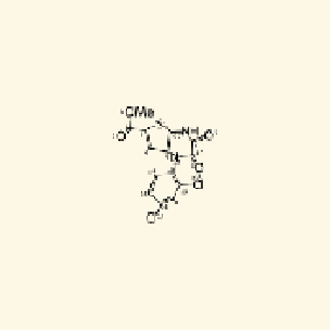 COC(=O)c1cc2c([nH]c(=O)c(=O)n2-c2ccc(Cl)cc2Cl)s1